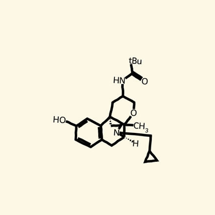 CC(C)(C)C(=O)NC1COC2(C)[C@H]3Cc4ccc(O)cc4[C@@]2(CCN3CC2CC2)C1